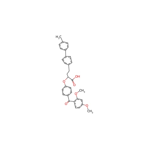 COc1ccc(C(=O)c2ccc(OC(CCc3ccc(-c4ccc(C)cc4)cc3)C(=O)O)cc2)c(OC)c1